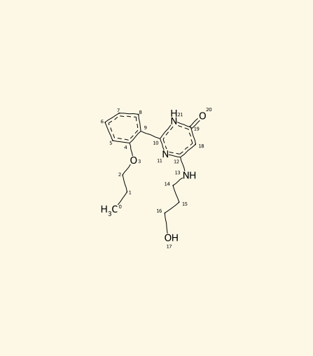 CCCOc1ccccc1-c1nc(NCCCO)cc(=O)[nH]1